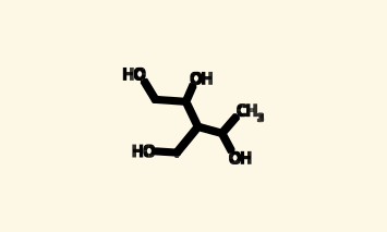 CC(O)C([CH]O)C(O)CO